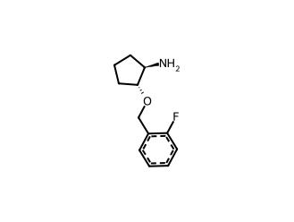 N[C@@H]1CCC[C@H]1OCc1ccccc1F